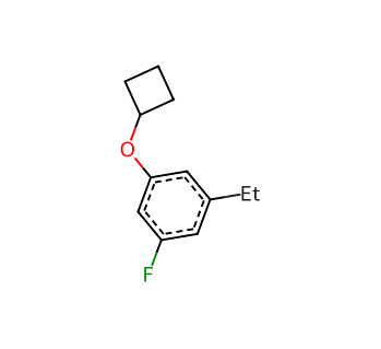 CCc1cc(F)cc(OC2CCC2)c1